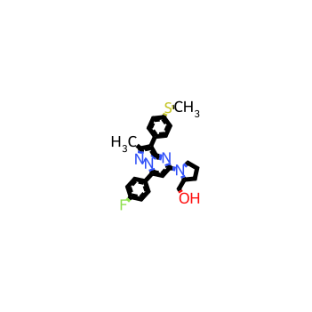 CSc1ccc(-c2c(C)nn3c(-c4ccc(F)cc4)cc(N4CCCC4CO)nc23)cc1